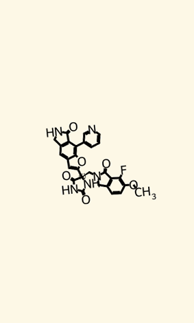 COc1ccc2c(c1F)C(=O)N(C[C@@]1(c3cc4cc5c(c(-c6cccnc6)c4o3)C(=O)NC5)NC(=O)NC1=O)C2